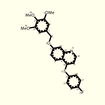 COc1cc(COc2ccc3c(Sc4ccc(F)cc4)ccnc3c2)cc(OC)c1OC